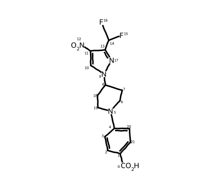 O=C(O)c1ccc(N2CCC(n3cc([N+](=O)[O-])c(C(F)F)n3)CC2)cc1